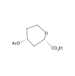 CCOC(=O)[C@@H]1C[C@H](OC(C)=O)CCO1